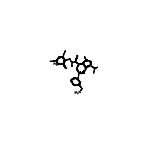 Cc1cc(C)c(CNC(=O)c2cc(-c3cccc(CN)c3)cc3c2c(C)cn3C(C)C)c(=O)[nH]1